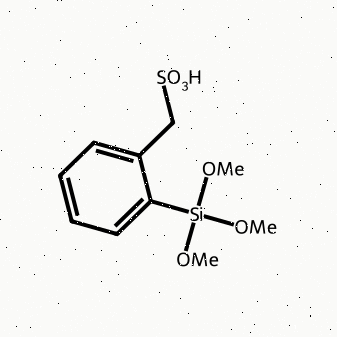 CO[Si](OC)(OC)c1ccccc1CS(=O)(=O)O